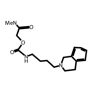 CNC(=O)COC(=O)NCCCCN1CCc2ccccc2C1